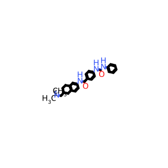 CN(C)CC1CCc2cc(NC(=O)c3ccc(NC(=O)Nc4ccccc4)cc3)ccc2C1